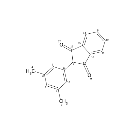 Cc1cc(C)cc(C2C(=O)c3ccccc3C2=O)c1